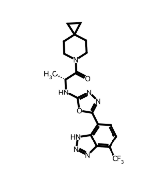 C[C@@H](Nc1nnc(-c2ccc(C(F)(F)F)c3nn[nH]c23)o1)C(=O)N1CCC2(CC1)CC2